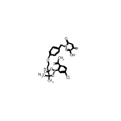 CC(=O)c1ccc(Cl)cc1B1OC(C)(C)C(C)(CCOc2ccc(Cn3nc(O)c(Br)cc3=O)cc2)O1